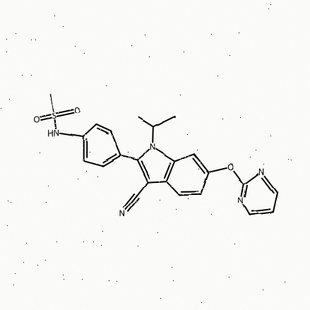 CC(C)n1c(-c2ccc(NS(C)(=O)=O)cc2)c(C#N)c2ccc(Oc3ncccn3)cc21